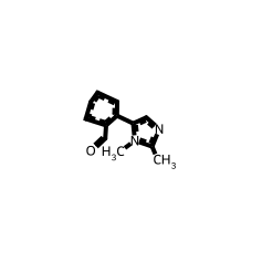 Cc1ncc(-c2ccccc2C=O)n1C